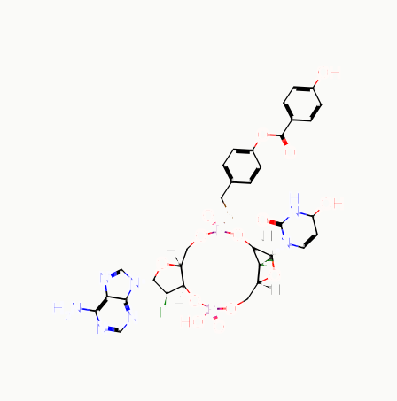 Nc1ncnc2c1ncn2[C@@H]1O[C@@H]2COP(=O)(SCc3ccc(OC(=O)c4ccc(O)cc4)cc3)O[C@@H]3[C@H](F)[C@@H](COP(=O)(O)O[C@H]2[C@H]1F)O[C@H]3N1C=CC(O)NC1=O